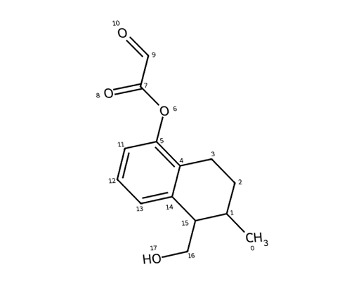 CC1CCc2c(OC(=O)C=O)cccc2C1CO